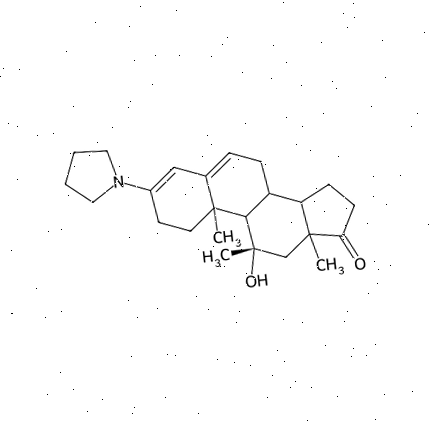 CC12C[C@](C)(O)C3C(CC=C4C=C(N5CCCC5)CCC43C)C1CCC2=O